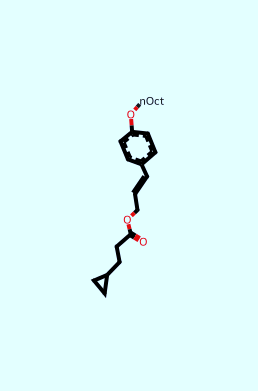 CCCCCCCCOc1ccc(/C=C/COC(=O)CCC2CC2)cc1